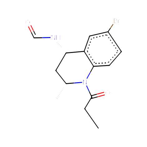 CCC(=O)N1c2ccc(Br)cc2[C@@H](NC=O)C[C@H]1C